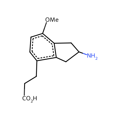 COc1ccc(CCC(=O)O)c2c1CC(N)C2